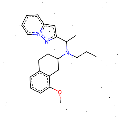 CCCN(C1CCc2cccc(OC)c2C1)C(C)c1cc2ccccn2n1